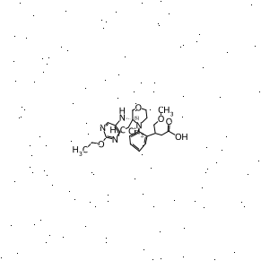 CCOc1ncc(N[C@]2(C(C)C)COCCN2c2ccccc2C(COC)CC(=O)O)cn1